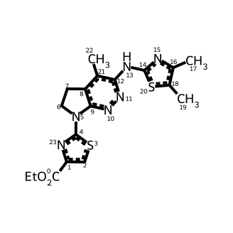 CCOC(=O)c1csc(N2CCc3c2nnc(Nc2nc(C)c(C)s2)c3C)n1